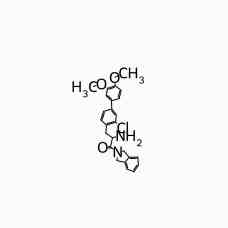 COc1ccc(-c2ccc(CC(N)C(=O)N3Cc4ccccc4C3)c(Cl)c2)cc1OC